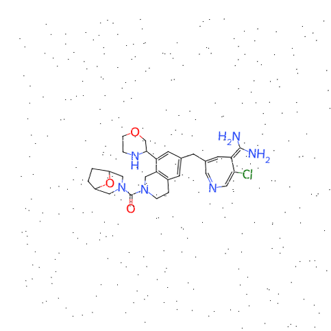 NC(N)=C1C=C(Cc2cc3c(c(C4COCCN4)c2)CN(C(=O)N2CC4CCC(C2)O4)CC3)C=NC=C1Cl